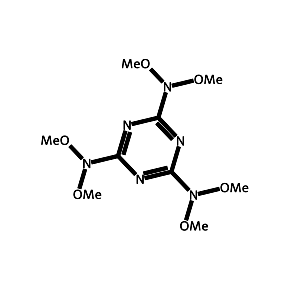 CON(OC)c1nc(N(OC)OC)nc(N(OC)OC)n1